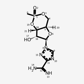 CP1(=O)OC[C@H]2O[C@@H](n3cnc(C(=N)N)n3)[C@H](O)[C@@H]2O1